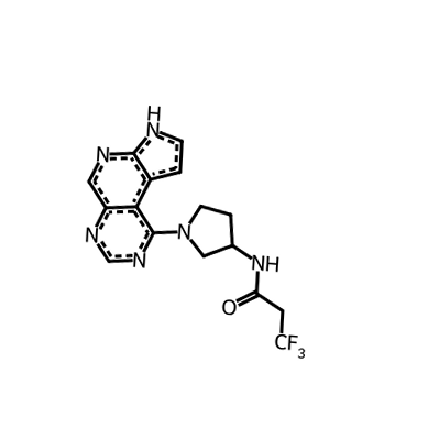 O=C(CC(F)(F)F)NC1CCN(c2ncnc3cnc4[nH]ccc4c23)C1